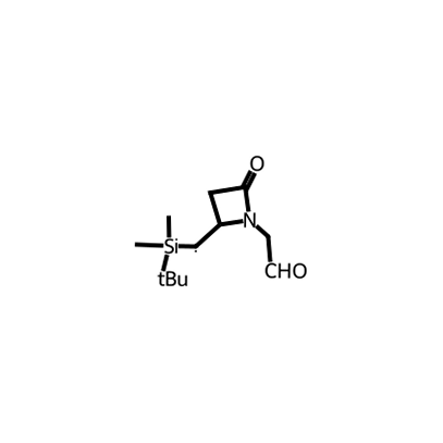 CC(C)(C)[Si](C)(C)[CH]C1CC(=O)N1CC=O